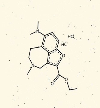 CCOC(=O)c1oc2ccc(N(C)C)c3c2c1CN(C)CC3.Cl.Cl